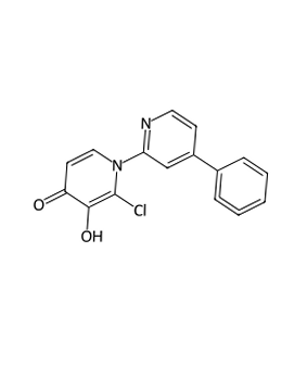 O=c1ccn(-c2cc(C3=C=C=CC=C3)ccn2)c(Cl)c1O